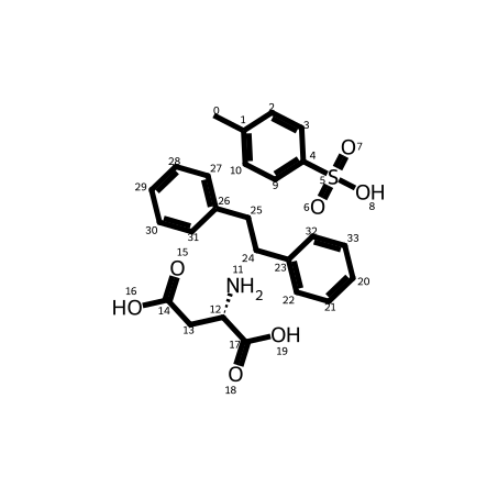 Cc1ccc(S(=O)(=O)O)cc1.N[C@@H](CC(=O)O)C(=O)O.c1ccc(CCc2ccccc2)cc1